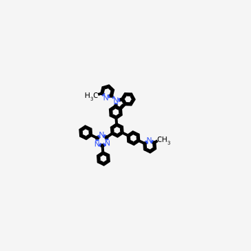 Cc1cccc(-c2ccc(-c3cc(-c4ccc5c(c4)c4ccccc4n5-c4cccc(C)n4)cc(-c4nc(-c5ccccc5)nc(-c5ccccc5)n4)c3)cc2)n1